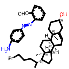 CC(C)CCCC(C)[C@H]1CC[C@H]2[C@@H]3CC=C4C[C@@H](O)CC[C@]4(C)[C@H]3CC[C@]12C.Nc1ccc(N=Nc2ccccc2C=O)cc1